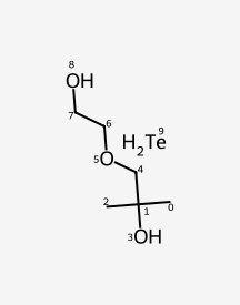 CC(C)(O)COCCO.[TeH2]